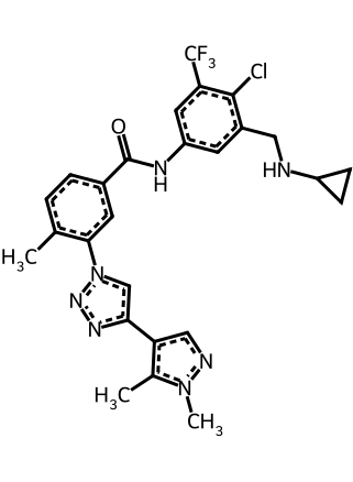 Cc1ccc(C(=O)Nc2cc(CNC3CC3)c(Cl)c(C(F)(F)F)c2)cc1-n1cc(-c2cnn(C)c2C)nn1